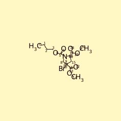 CCCCOC(=O)N1C[C@@](Br)(C(=O)OC)C[C@H]1C(=O)OC